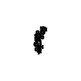 CC#CCN1C(N2CCC[C@@H](NC(=O)OC(C)(C)C)C2)=NC2(C)C1C(=O)N(c1ccc3nccnc3c1)C(=O)N2C